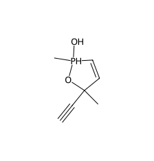 C#CC1(C)C=C[PH](C)(O)O1